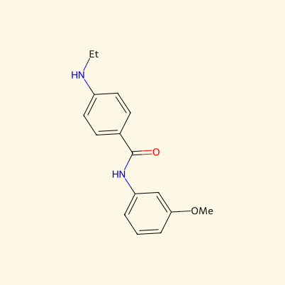 CCNc1ccc(C(=O)Nc2cccc(OC)c2)cc1